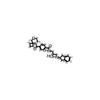 O=C(NCC(O)CNC1Cc2ccccc2C1)c1ccc(C(=O)N2CCOCC23CCC3)cc1